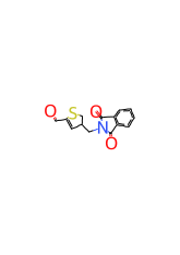 O=CC1=CC(CN2C(=O)c3ccccc3C2=O)CS1